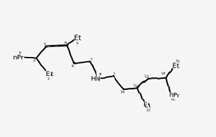 CCCC(CC)CC(CC)CCNCCC(CC)CC(CC)CCC